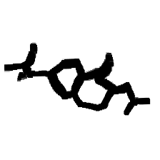 CC(=O)Nc1ccc2c(c1)CC/C(=C\N(C)C)C2=O